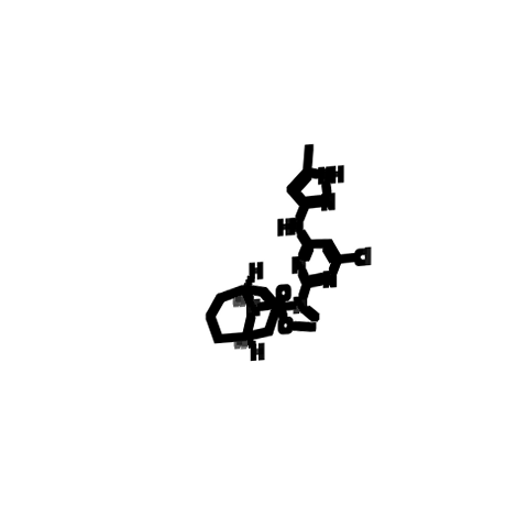 COC(=O)N1[C@@H]2CCC[C@H]1CC(N(C)c1nc(Cl)cc(Nc3cc(C)[nH]n3)n1)C2